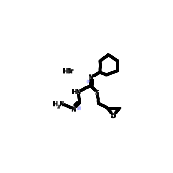 Br.N/N=C\N/C(=N/C1CCCCC1)SCC1CO1